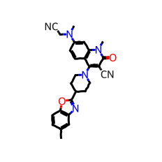 Cc1ccc2oc(C3CCN(c4c(C#N)c(=O)n(C)c5cc(N(C)CC#N)ccc45)CC3)nc2c1